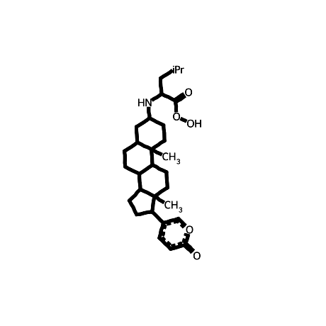 CC(C)CC(NC1CCC2(C)C(CCC3C2CCC2(C)C(c4ccc(=O)oc4)CCC32)C1)C(=O)OO